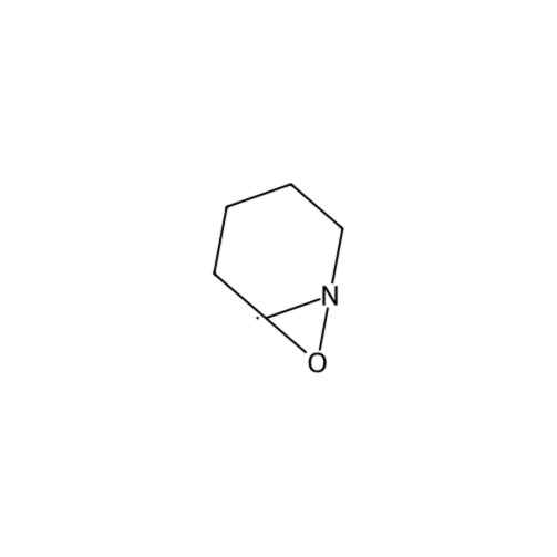 C1CCN2O[C]2C1